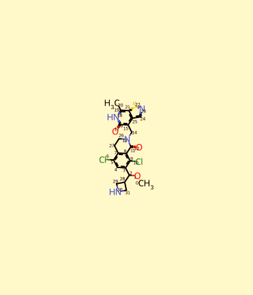 COC(c1cc(Cl)c2c(c1Cl)C(=O)N(Cc1c(=O)[nH]c(C)c3sncc13)CC2)C1CNC1